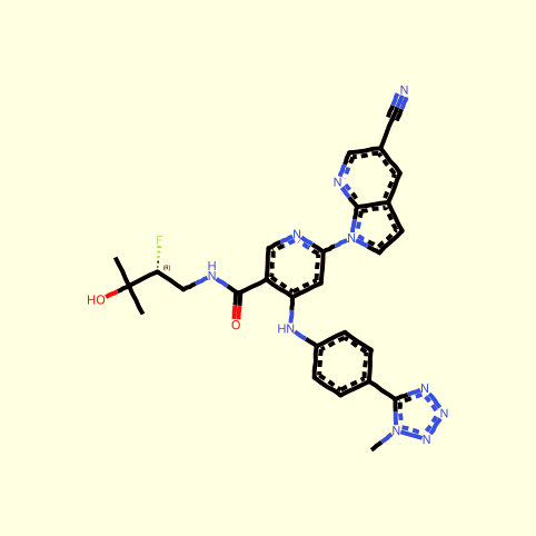 Cn1nnnc1-c1ccc(Nc2cc(-n3ccc4cc(C#N)cnc43)ncc2C(=O)NC[C@@H](F)C(C)(C)O)cc1